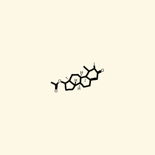 CC(=O)OC1CC[C@H]2[C@@H]3CCC4=CC(=O)C(I)C(C)[C@]4(C)[C@@H]3CC[C@]12C